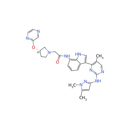 Cc1cnc(Nc2cc(C)n(C)n2)nc1-c1c[nH]c2c(NC(=O)CN3CC[C@H](Oc4cnccn4)C3)cccc12